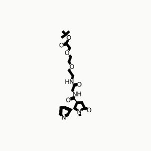 CN1C(=O)C[C@H](C(=O)NCC(=O)NCCOCCOCC(=O)OC(C)(C)C)[C@H]1c1cccnc1